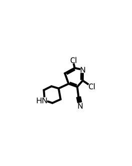 N#Cc1c(C2CCNCC2)cc(Cl)nc1Cl